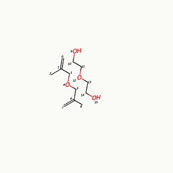 C=C(C)COCC(=C)C.OCCOCCO